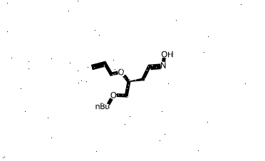 C=CCO[C@@H](C/C=N/O)COCCCC